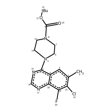 Cc1cc2c(N3CCN(C(=O)OC(C)(C)C)CC3)ncnc2c(F)c1Cl